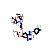 [2H]C([2H])([2H])Oc1cc2ncnc(Nc3ccc(F)c(Cl)c3)c2cc1OCCCN1C([2H])([2H])C([2H])([2H])OC([2H])([2H])C1([2H])[2H]